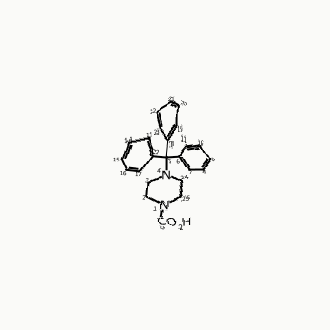 O=C(O)N1CCN(C(c2ccccc2)(c2ccccc2)c2ccccc2)CC1